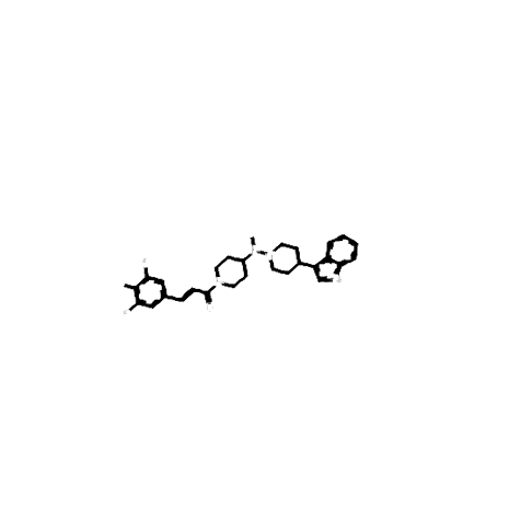 CN(C1CCN(C(=O)C=Cc2cc(F)c(F)c(F)c2)CC1)N1CCC(c2c[nH]c3ccccc23)CC1